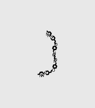 Cc1ccc(N2CCC(CCOc3ccc(/C=N/OCCO/N=C/c4ccc(OCCC5CCN(c6ccc(C)nn6)CC5)cc4)cc3)CC2)nn1